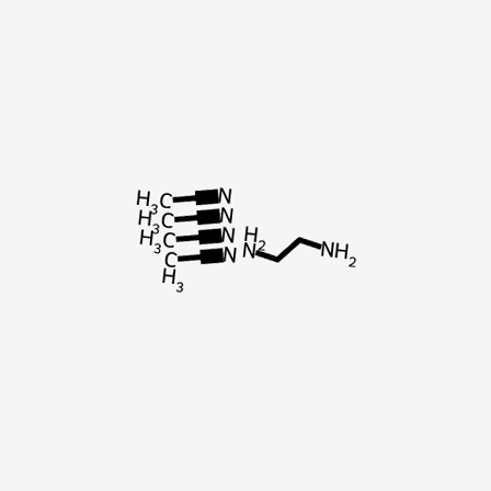 CC#N.CC#N.CC#N.CC#N.NCCN